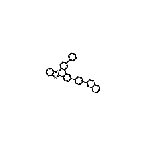 C1=CCC2C=C(c3ccc(-c4ccc5c(c4)c4cc(-c6ccccc6)ccc4n4c6ccccc6nc54)cc3)C=CC2=C1